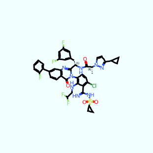 C[C@H](C(=O)N[C@@H](Cc1cc(F)cc(F)c1)c1nc2cc(-c3ccccc3F)ccc2c(=O)n1-c1ccc(Cl)c(C(=N)NS(=O)(=O)C2CC2)c1NCC(F)F)n1ccc(C2CC2)n1